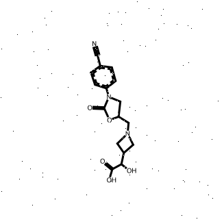 N#Cc1ccc(N2CC(CN3CC(C(O)C(=O)O)C3)OC2=O)cc1